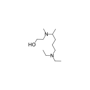 CCN(CC)CCCC(C)N(C)CCO